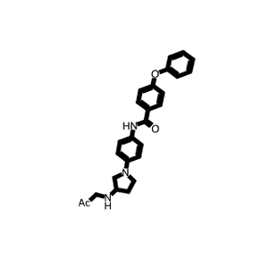 CC(=O)CNC1CCN(c2ccc(NC(=O)c3ccc(Oc4ccccc4)cc3)cc2)C1